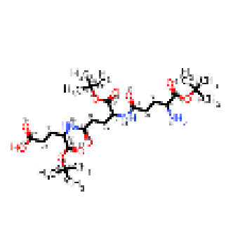 CC(C)(C)OC(=O)C(N)CCC(=O)NC(CCC(=O)NC(CCC(=O)O)C(=O)OC(C)(C)C)C(=O)OC(C)(C)C